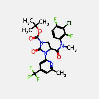 Cc1cc(C(F)(F)F)cc(N2C(=O)N(C(=O)OC(C)(C)C)CC2C(=O)N(C)c2ccc(F)c(Cl)c2F)n1